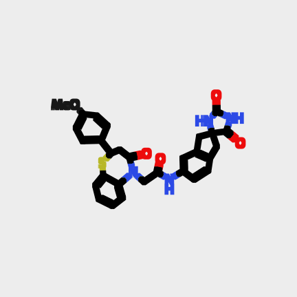 COc1ccc(C2CC(=O)N(CC(=O)Nc3ccc4c(c3)CC3(C4)NC(=O)NC3=O)c3ccccc3S2)cc1